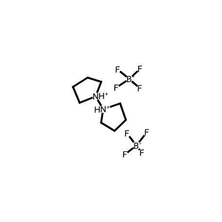 C1CC[NH+]([NH+]2CCCC2)C1.F[B-](F)(F)F.F[B-](F)(F)F